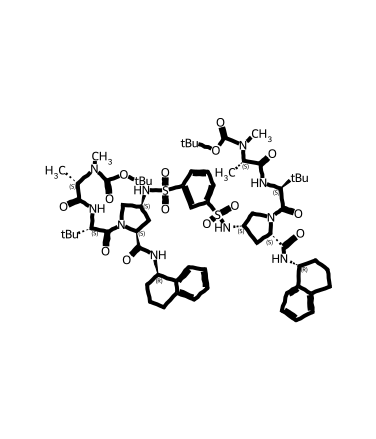 C[C@@H](C(=O)N[C@H](C(=O)N1C[C@@H](NS(=O)(=O)c2cccc(S(=O)(=O)N[C@H]3C[C@@H](C(=O)N[C@@H]4CCCc5ccccc54)N(C(=O)[C@@H](NC(=O)[C@H](C)N(C)C(=O)OC(C)(C)C)C(C)(C)C)C3)c2)C[C@H]1C(=O)N[C@@H]1CCCc2ccccc21)C(C)(C)C)N(C)C(=O)OC(C)(C)C